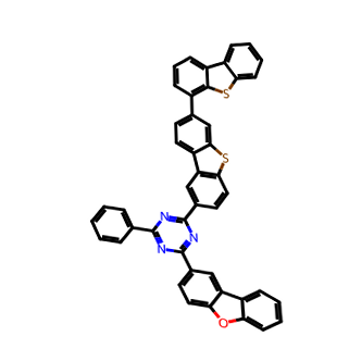 c1ccc(-c2nc(-c3ccc4oc5ccccc5c4c3)nc(-c3ccc4sc5cc(-c6cccc7c6sc6ccccc67)ccc5c4c3)n2)cc1